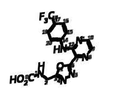 O=C(O)NCc1nnc(-c2nccnc2Nc2ccc(C(F)(F)F)cc2)o1